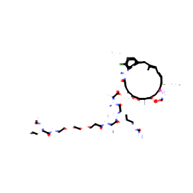 CCCC(=O)N[C@@H](CCC(=O)O)C(=O)NCCOCCOCCC(=O)N[C@H](C(=O)N[C@@H](CCCNC(N)=O)C(=O)N(C)[C@@H](C)C(=O)O[C@H]1CC(=O)N(C)c2cc(cc(OC)c2Cl)C/C(C)=C/C=C/[C@@H](OC)[C@@]2(O)C[C@H](OC(=O)N2)[C@@H](C)[C@@H]2O[C@]12C)C(C)C